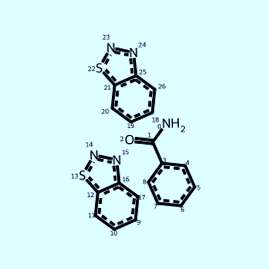 NC(=O)c1ccccc1.c1ccc2snnc2c1.c1ccc2snnc2c1